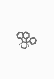 c1ccc(C2OCCOC2(c2ccccc2)c2ccccc2)cc1